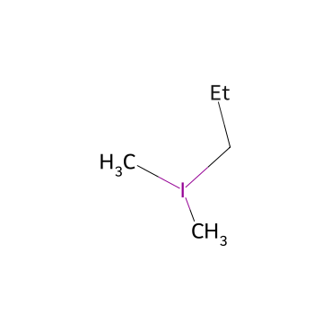 CCCI(C)C